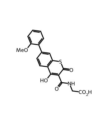 COc1ccccc1-c1ccc2c(O)c(C(=O)NCC(=O)O)c(=O)sc2c1